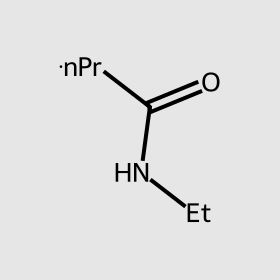 CC[CH]C(=O)NCC